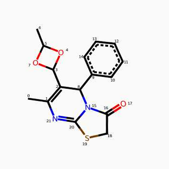 CC1=C(C2OC(C)O2)C(c2ccccc2)N2C(=O)CSC2=N1